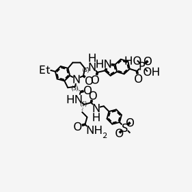 CCc1cc2c3c(c1)C[C@@H](C(=O)N[C@@H](CCC(N)=O)C(=O)NCc1ccc(S(C)(=O)=O)cc1)N3C(=O)[C@@H](NC(=O)c1cc3cc(C(=O)P(=O)(O)O)ccc3[nH]1)CC2